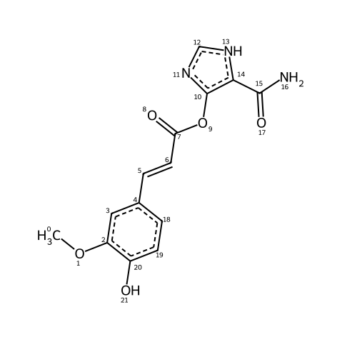 COc1cc(C=CC(=O)Oc2nc[nH]c2C(N)=O)ccc1O